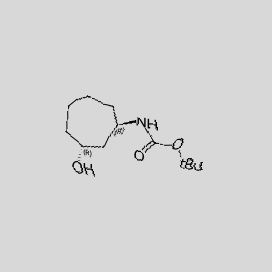 CC(C)(C)OC(=O)N[C@@H]1CCCC[C@@H](O)C1